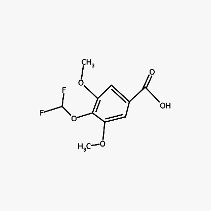 COc1cc(C(=O)O)cc(OC)c1OC(F)F